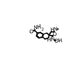 CNCCC1(C(=O)NO)CCc2ccc(C(N)=O)cc2C1